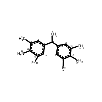 CCc1cc(C(C)c2cc(C)c(N)c(CC)c2)cc(C)c1N